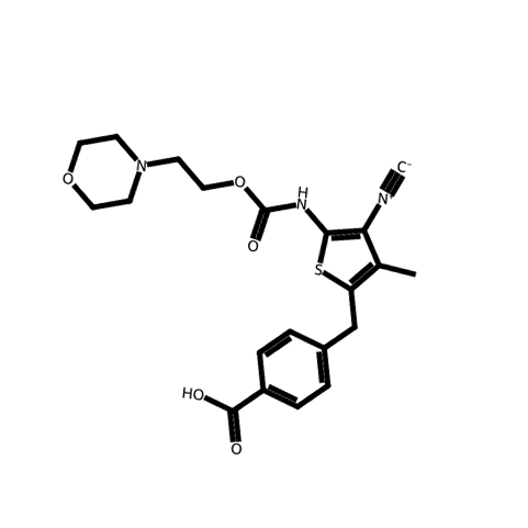 [C-]#[N+]c1c(NC(=O)OCCN2CCOCC2)sc(Cc2ccc(C(=O)O)cc2)c1C